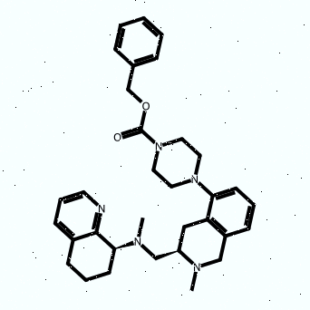 CN1Cc2cccc(N3CCN(C(=O)OCc4ccccc4)CC3)c2C[C@@H]1CN(C)[C@H]1CCCc2cccnc21